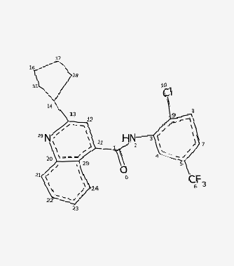 O=C(Nc1cc(C(F)(F)F)ccc1Cl)c1cc(C2CCCC2)nc2ccccc12